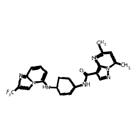 Cc1cc(C)n2ncc(C(=O)NC3CCC(Nc4cccc5nc(C(F)(F)F)cn45)CC3)c2n1